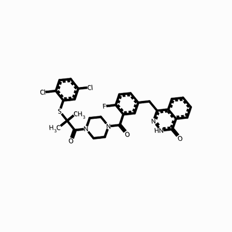 CC(C)(Sc1cc(Cl)ccc1Cl)C(=O)N1CCN(C(=O)c2cc(Cc3n[nH]c(=O)c4ccccc34)ccc2F)CC1